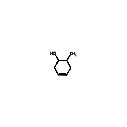 CC1CC=CCC1O